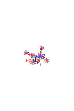 C[C@H](NC(=NC(=O)OCc1ccc([N+](=O)[O-])cc1)NC(=O)OCc1ccc([N+](=O)[O-])cc1)C(=O)N[C@H]1CCN(C(=O)[C@@H]2C[C@H](SC3=C(C(=O)O)N4C(=O)[C@H]([C@@H](C)O)[C@H]4[C@H]3C)CN2C(=O)OCc2ccc([N+](=O)[O-])cc2)C1